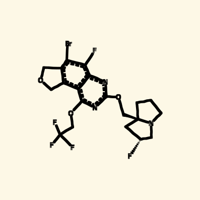 Fc1c(Br)c2c(c3c(OCC(F)(F)F)nc(OC[C@@]45CCCN4C[C@H](F)C5)nc13)COC2